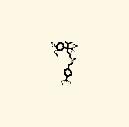 COC(=O)c1ccc(CCN(C)CCCC(C(=O)OC)(c2ccc(OC)c(OC)c2)C(C)C)cc1